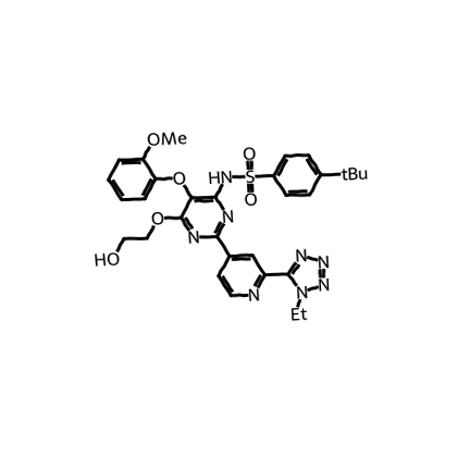 CCn1nnnc1-c1cc(-c2nc(NS(=O)(=O)c3ccc(C(C)(C)C)cc3)c(Oc3ccccc3OC)c(OCCO)n2)ccn1